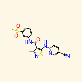 Cc1nsc(Nc2ccc(C#N)cn2)c1C(=O)Nc1cccc(S(C)(=O)=O)c1